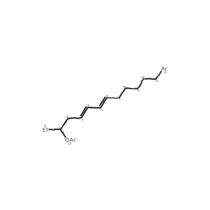 CCC(CC=CC=CCCCCCC(C)=O)OC(C)=O